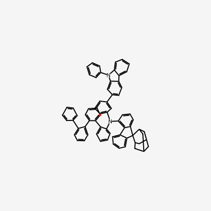 c1ccc(-c2ccccc2-c2ccccc2-c2ccccc2N(c2cccc(-c3ccc4c5ccccc5n(-c5ccccc5)c4c3)c2)c2cccc3c2-c2ccccc2C32C3CC4CC(C3)CC2C4)cc1